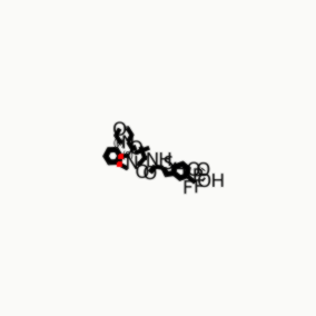 CC(C)(C)C(NC(=O)c1cc2cc(C(F)(F)P(=O)(O)O)ccc2s1)C(=O)N1CCC[C@H]1C(=O)N1CCOC[C@H]1c1ccccc1